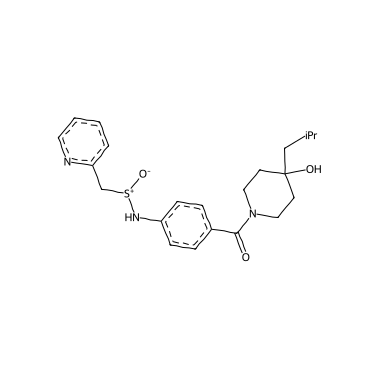 CC(C)CC1(O)CCN(C(=O)c2ccc(N[S+]([O-])Cc3ccccn3)cc2)CC1